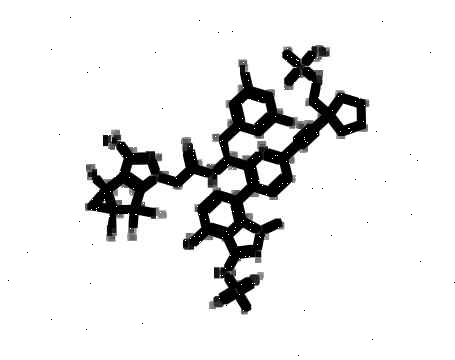 Cn1nc(NS(C)(=O)=O)c2c(Cl)ccc(-c3ccc(C#CC4(CO[Si](C)(C)C(C)(C)C)CCCC4)nc3[C@H](Cc3cc(F)cc(F)c3)NC(=O)Cn3nc(C(F)(F)F)c4c3C(F)(F)[C@@H]3C[C@H]43)c21